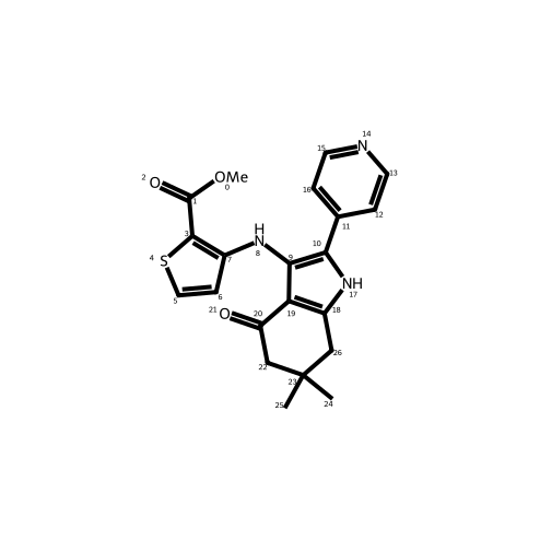 COC(=O)c1sccc1Nc1c(-c2ccncc2)[nH]c2c1C(=O)CC(C)(C)C2